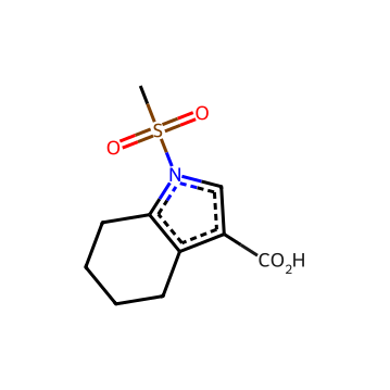 CS(=O)(=O)n1cc(C(=O)O)c2c1CCCC2